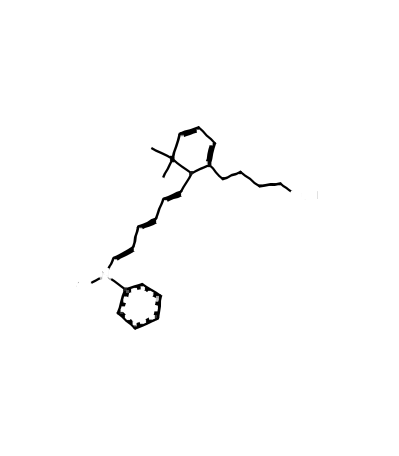 CC(=O)N(C=CC=CC=CC1C(CCCCS(=O)(=O)O)=CC=CC1(C)C)c1ccccc1